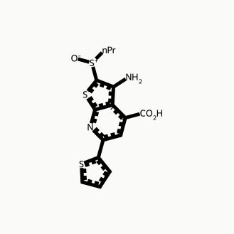 CCC[S+]([O-])c1sc2nc(-c3cccs3)cc(C(=O)O)c2c1N